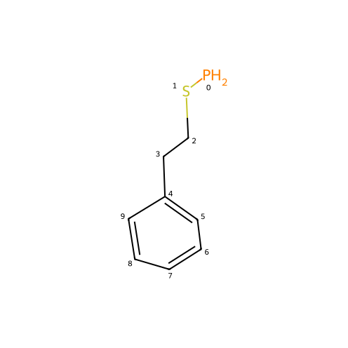 PSCCc1ccccc1